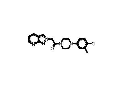 Cc1cc(N2CCN(C(=O)Cn3cc4cccnc4n3)CC2)ccc1Cl